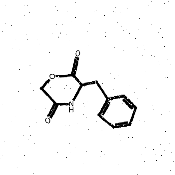 O=C1COC(=O)C(Cc2ccccc2)N1